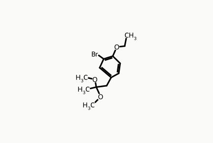 CCOc1ccc(CC(C)(OC)OC)cc1Br